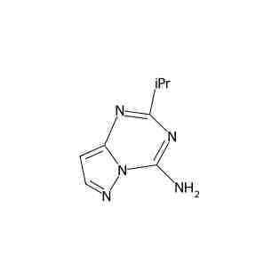 CC(C)c1nc(N)n2nccc2n1